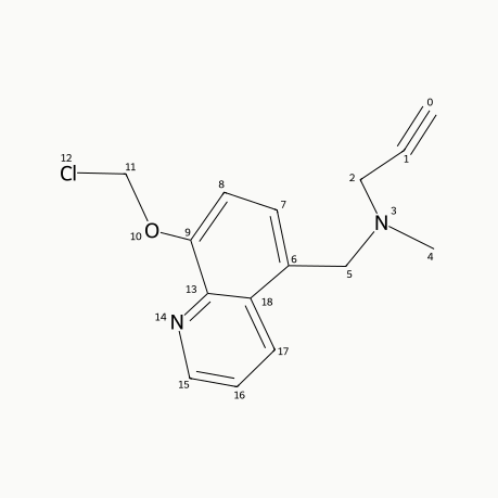 C#CCN(C)Cc1ccc(OCCl)c2ncccc12